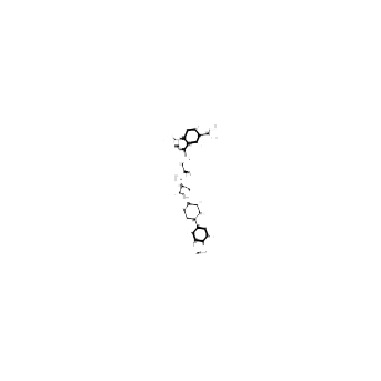 Cn1nc(NCC(=O)NC2CN(C3CCC(c4ccc5c(c4)OCO5)CC3)C2)c2cc(C(O)C(F)(F)F)ccc21